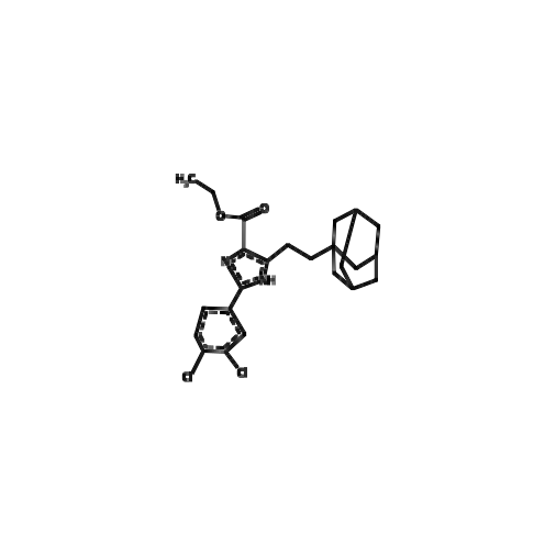 CCOC(=O)c1nc(-c2ccc(Cl)c(Cl)c2)[nH]c1CCC12CC3CC(CC(C3)C1)C2